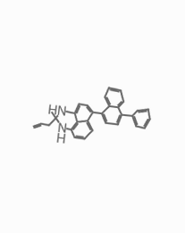 C=CCC1(C)Nc2cccc3c(-c4ccc(-c5ccccc5)c5ccccc45)ccc(c23)N1